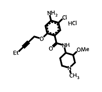 CCC#CCOc1cc(N)c(Cl)cc1C(=O)NC1CCN(C)CC1OC.Cl